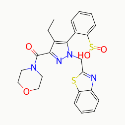 CCc1c(C(=O)N2CCOCC2)nn(Cc2nc3ccccc3s2)c1-c1ccccc1S(=O)O